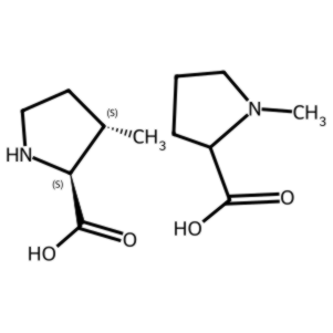 CN1CCCC1C(=O)O.C[C@H]1CCN[C@@H]1C(=O)O